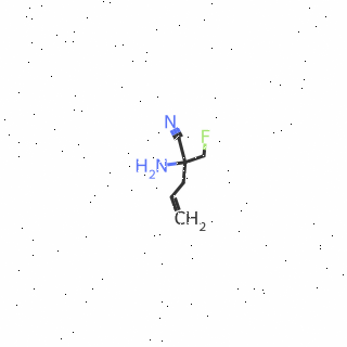 C=CCC(N)(C#N)CF